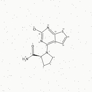 NC(=O)[C@@H]1CCCN1c1nc(Cl)nc2sccc12